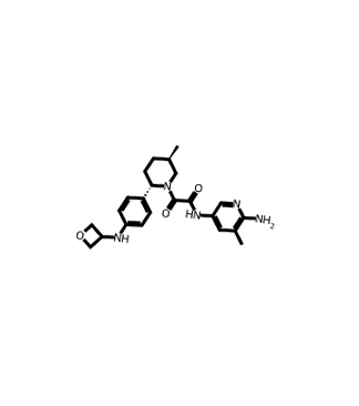 Cc1cc(NC(=O)C(=O)N2C[C@H](C)CC[C@H]2c2ccc(NC3COC3)cc2)cnc1N